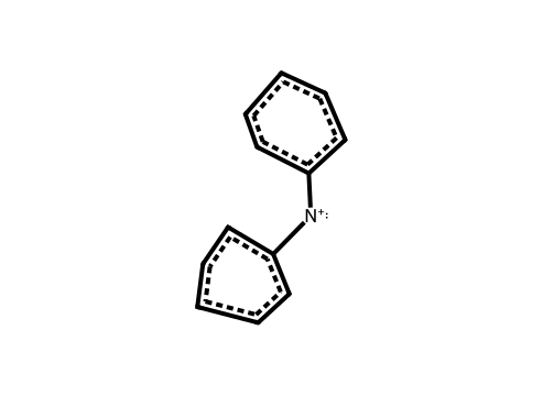 c1ccc([N+]c2ccccc2)cc1